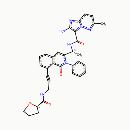 Cc1ccc2nc(N)c(C(=O)N[C@H](C)c3cc4cccc(C#CCNC(=O)[C@H]5CCCO5)c4c(=O)n3-c3ccccc3)n2n1